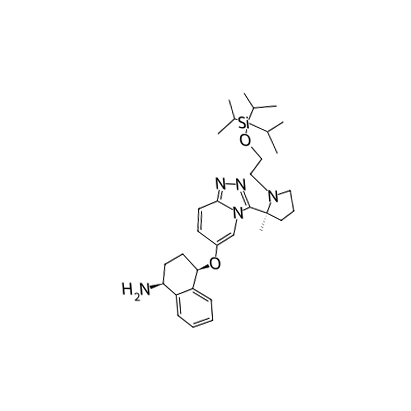 CC(C)[Si](OCCN1CCC[C@@]1(C)c1nnc2ccc(O[C@@H]3CC[C@H](N)c4ccccc43)cn12)(C(C)C)C(C)C